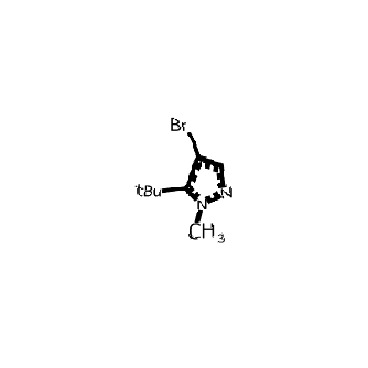 Cn1ncc(Br)c1C(C)(C)C